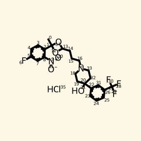 CC1(c2ccc(F)cc2[N+](=O)[O-])OC(CCCN2CCC(O)(c3cccc(C(F)(F)F)c3)CC2)O1.Cl